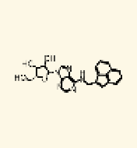 OC[C@H]1O[C@@H](n2cnc3c(NCC4=Cc5cccc6cccc4c56)ncnc32)[C@H](O)[C@@H]1O